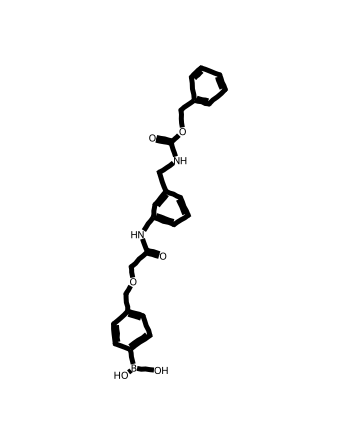 O=C(COCc1ccc(B(O)O)cc1)Nc1cccc(CNC(=O)OCc2ccccc2)c1